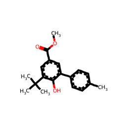 COC(=O)c1cc(-c2ccc(C)cc2)c(O)c(C(C)(C)C)c1